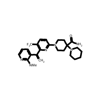 C=C(c1cccnc1NC)c1nc(N2CCC(C(N)=O)(N3CCCCC3)CC2)ccc1C(F)(F)F